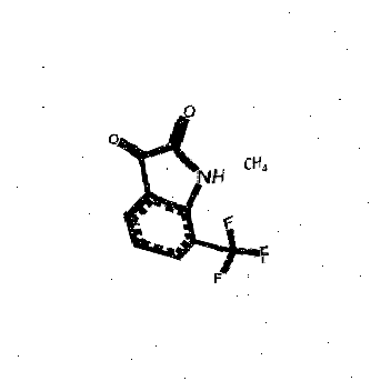 C.O=C1Nc2c(cccc2C(F)(F)F)C1=O